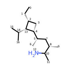 CC[C@@H]1C[C@H]([C@@H](C)C[C@H](C)C(C)N)[C@@H]1C(C)C